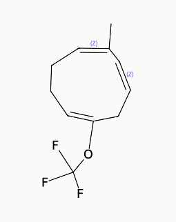 CC1=C/CCC=C(OC(F)(F)F)C/C=C\1